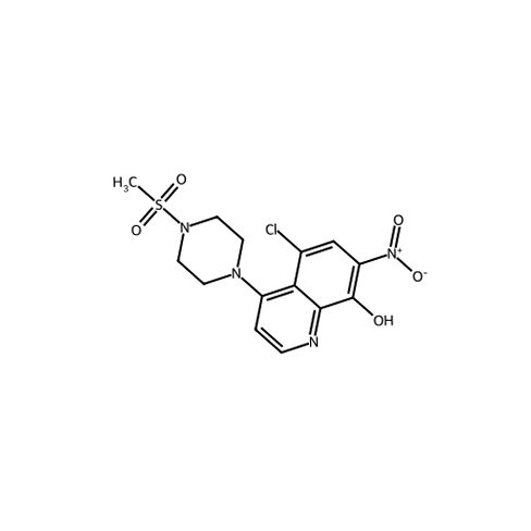 CS(=O)(=O)N1CCN(c2ccnc3c(O)c([N+](=O)[O-])cc(Cl)c23)CC1